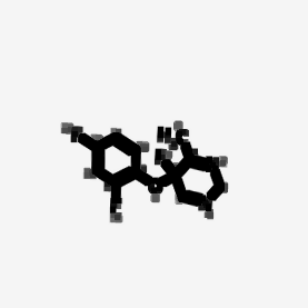 CC1=N[CH]N=CC1(F)Oc1ccc(F)cc1F